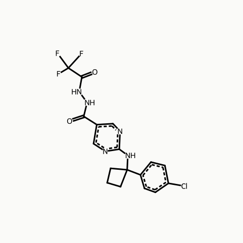 O=C(NNC(=O)C(F)(F)F)c1cnc(NC2(c3ccc(Cl)cc3)CCC2)nc1